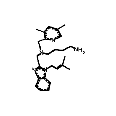 CC(C)=CCn1c(CN(CCCCN)Cc2ncc(C)cc2C)nc2ccccc21